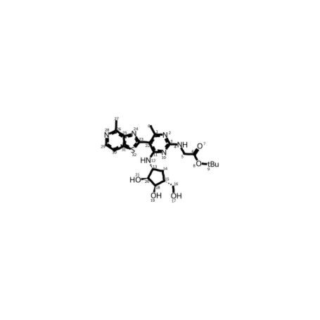 Cc1nc(NCC(=O)OC(C)(C)C)nc(N[C@@H]2C[C@H](CO)[C@@H](O)[C@H]2O)c1-c1nc2c(C)nccc2s1